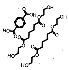 O=C(CCCCC(=O)OCCO)OCCO.O=C(CCCCC(=O)OCCO)OCCO.O=C(O)c1ccc(C(=O)O)cc1